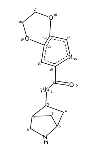 O=C(NC1CC2CC1CN2)c1cc2c(cn1)OCCO2